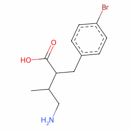 CC(CN)C(Cc1ccc(Br)cc1)C(=O)O